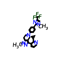 Cn1cc(C(F)(F)F)nc1-c1ccc(N2CCc3c(c(-c4cccnc4C4CC4)nn3C)C2)cc1